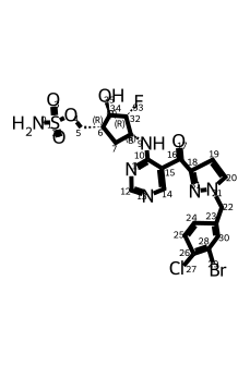 NS(=O)(=O)OC[C@H]1C[C@@H](Nc2ncncc2C(=O)c2ccn(Cc3ccc(Cl)c(Br)c3)n2)[C@@H](F)[C@@H]1O